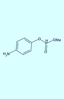 CO[PH](=O)Oc1ccc(N)cc1